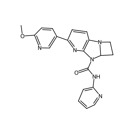 COc1ccc(-c2ccc3c(n2)N(C(=O)Nc2ccccn2)C2CCN32)cn1